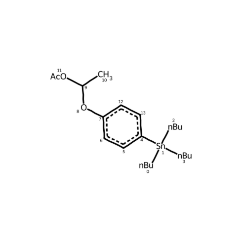 CCC[CH2][Sn]([CH2]CCC)([CH2]CCC)[c]1ccc(OC(C)OC(C)=O)cc1